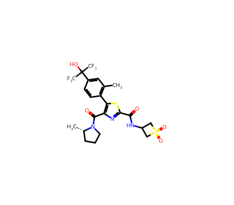 Cc1cc(C(O)(C(F)(F)F)C(F)(F)F)ccc1-c1sc(C(=O)NC2CS(=O)(=O)C2)nc1C(=O)N1CCC[C@@H]1C